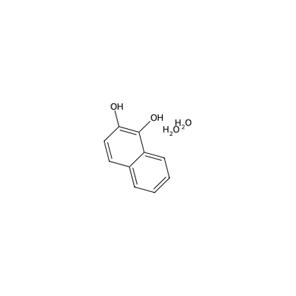 O.O.Oc1ccc2ccccc2c1O